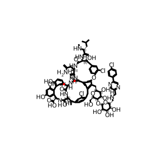 C=C(N)C[C@@H]1NC(=O)C(NC(=C)[C@@H](CC(C)C)NC)[C@H](O)c2ccc(c(Cl)c2)Oc2cc3cc(c2C[C@@H]2O[C@H](CO)[C@@H](O[C@@H]4O[C@H](CNCc5cnc(-c6ccc(Cl)cc6)cn5)[C@H](O)[C@H](O)[C@H]4O)[C@H](O)[C@H]2O)Cc2ccc(cc2Cl)[C@@H](C)[C@@H]2NC(=O)[C@H](NC(=O)[C@@H]3NC1=C)c1ccc(O)c(c1)-c1c(O)cc(O)cc1[C@H](C(=O)O)NC2=O